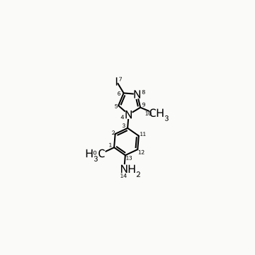 Cc1cc(-n2cc(I)nc2C)ccc1N